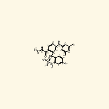 CCCS(=O)(=O)N(C)c1cc(F)ccc1Nc1cc(Nc2cc(C)nc(C)n2)ncc1C(=O)NOCC